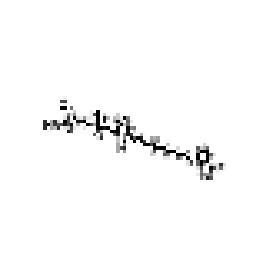 C[C@@H](CCCCNC(=O)CC[C@H](NC(=O)CCCCCCCCCCCc1cccc(C(=O)O)c1)C(=O)O)C(=O)O